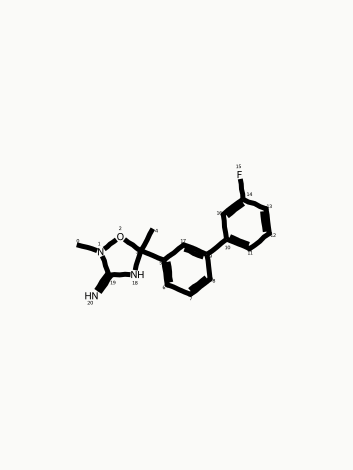 CN1OC(C)(c2cccc(-c3cccc(F)c3)c2)NC1=N